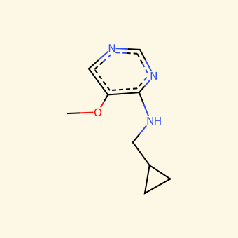 COc1cncnc1NCC1CC1